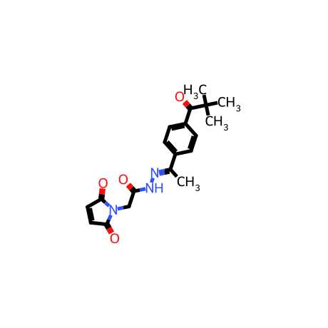 C/C(=N\NC(=O)CN1C(=O)C=CC1=O)c1ccc(C(=O)C(C)(C)C)cc1